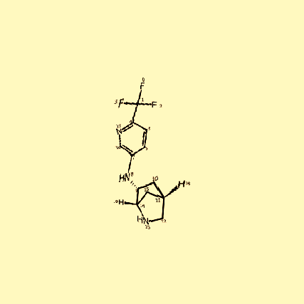 FC(F)(F)c1ccc(N[C@@H]2C[C@@H]3CN[C@H]2C3)cn1